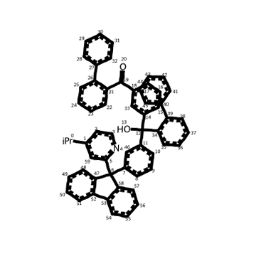 CC(C)c1ccnc(C2(c3cccc(C(O)(c4cccc(C(=O)c5ccccc5-c5ccccc5)c4)c4ccccc4-c4ccccc4)c3)c3ccccc3-c3ccccc32)c1